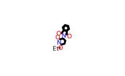 CCOC1=NC(=O)C(N2C(=O)c3ccccc3C2=O)CC1